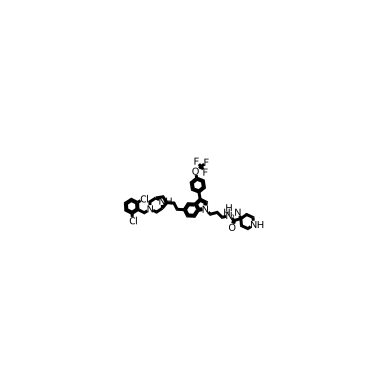 NC1(C(=O)NCCCn2cc(-c3ccc(OC(F)(F)F)cc3)c3cc(CCC4CC5CN(Cc6c(Cl)cccc6Cl)CC4N5)ccc32)CCNCC1